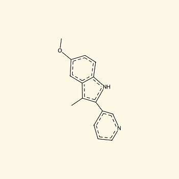 COc1ccc2[nH]c(-c3cccnc3)c(C)c2c1